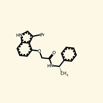 CC(C)c1c[nH]c2cccc(OCC(=O)N[C@@H](C)c3ccccc3)c12